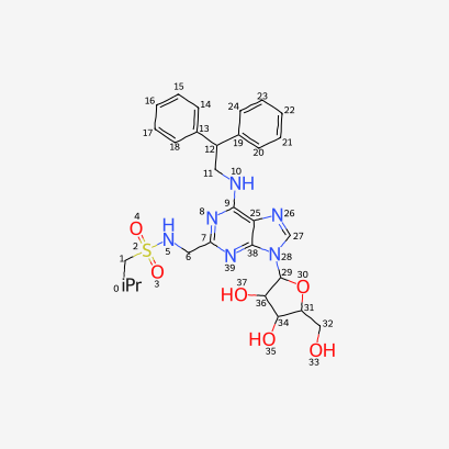 CC(C)CS(=O)(=O)NCc1nc(NCC(c2ccccc2)c2ccccc2)c2ncn(C3OC(CO)C(O)C3O)c2n1